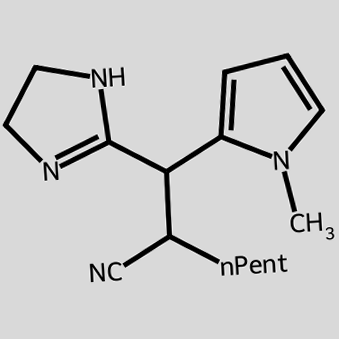 CCCCCC(C#N)C(C1=NCCN1)c1cccn1C